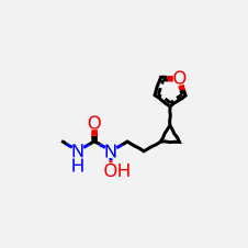 CNC(=O)N(O)CCC1CC1c1ccoc1